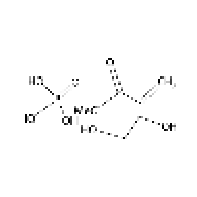 C=CC(=O)OC.O=P(O)(O)O.OCCO